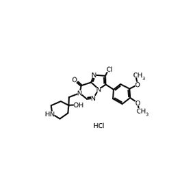 COc1ccc(-c2c(Cl)nc3c(=O)n(CC4(O)CCNCC4)cnn23)cc1OC.Cl